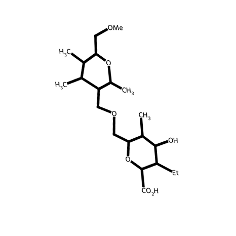 CCC1C(C(=O)O)OC(COCC2C(C)OC(COC)C(C)C2C)C(C)C1O